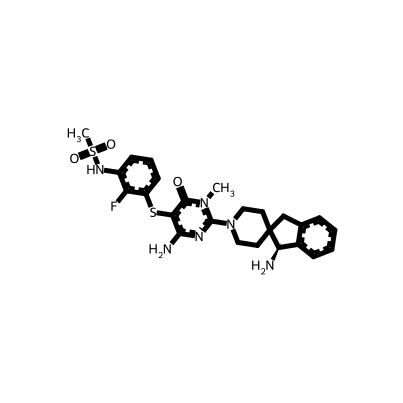 Cn1c(N2CCC3(CC2)Cc2ccccc2[C@H]3N)nc(N)c(Sc2cccc(NS(C)(=O)=O)c2F)c1=O